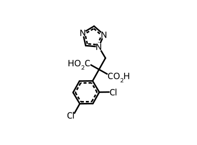 O=C(O)C(Cn1cncn1)(C(=O)O)c1ccc(Cl)cc1Cl